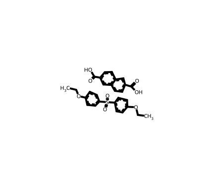 CCOc1ccc(S(=O)(=O)c2ccc(OCC)cc2)cc1.O=C(O)c1ccc2cc(C(=O)O)ccc2c1